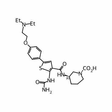 CCN(CC)CCOc1ccc(-c2cc(C(=O)N[C@@H]3CCCN(C(=O)O)C3)c(NC(N)=O)s2)cc1